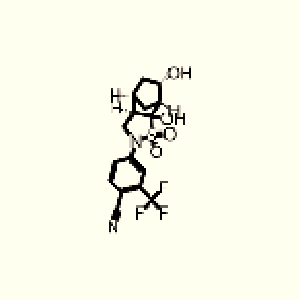 N#Cc1ccc(N2C[C@H]3[C@H]4C[C@H](O)[C@H](C4)C3(O)S2(=O)=O)cc1C(F)(F)F